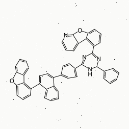 c1ccc(C2N=C(c3cccc4oc5ncccc5c34)N=C(c3ccc(-c4ccc(-c5cccc6oc7ccccc7c56)c5ccccc45)cc3)N2)cc1